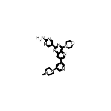 CN1CCN(c2cncc(-c3cnc4c(N5CCOCC5)nc(-c5cnc(N)nc5)nc4c3)c2)CC1